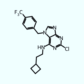 FC(F)(F)c1ccc(Cn2cnc3nc(Cl)nc(NCCC4CCC4)c32)cc1